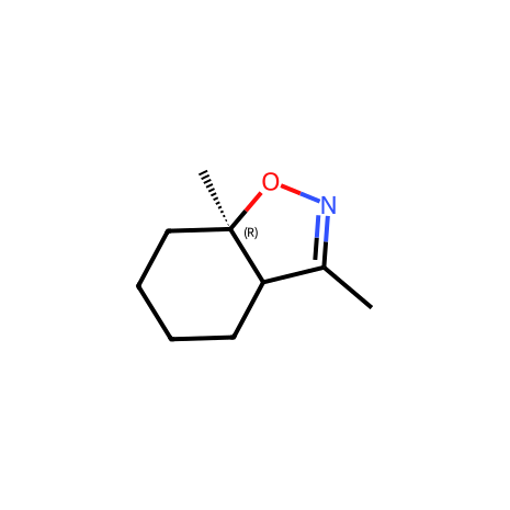 CC1=NO[C@]2(C)CCCCC12